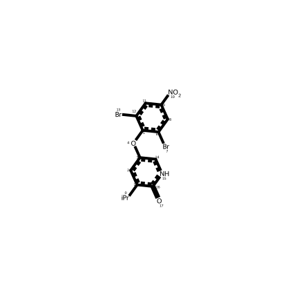 CC(C)c1cc(Oc2c(Br)cc([N+](=O)[O-])cc2Br)c[nH]c1=O